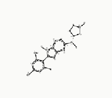 Cc1cc(Cl)cc(O)c1-c1nc2nc(N(C)[C@@H]3CCN(C)C3)cnc2n1C